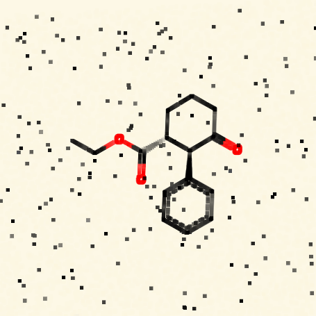 CCOC(=O)[C@@H]1CCCC(=O)[C@H]1c1ccccc1